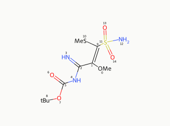 CO/C(C(=N)NC(=O)OC(C)(C)C)=C(/SC)S(N)(=O)=O